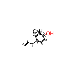 C=CCc1ccc(O)cc1.[CaH2]